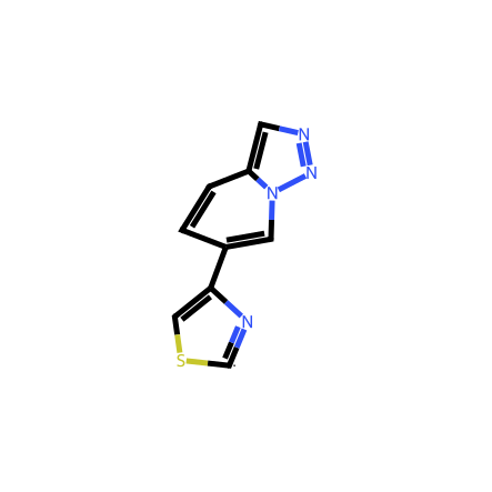 [c]1nc(-c2ccc3cnnn3c2)cs1